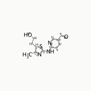 Cc1nc(Nc2ccc(C=O)cn2)sc1CCO